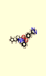 C[C@@H](CC1CCCC1)NCc1ccccc1NS(=O)(=O)c1ccc(-c2cncnc2)cc1